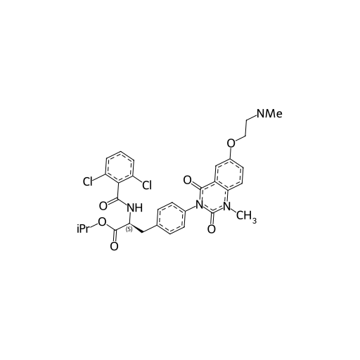 CNCCOc1ccc2c(c1)c(=O)n(-c1ccc(C[C@H](NC(=O)c3c(Cl)cccc3Cl)C(=O)OC(C)C)cc1)c(=O)n2C